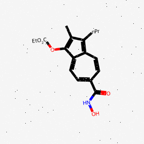 CCCc1c2ccc(C(=O)NO)ccc-2c(OC(=O)OCC)c1C